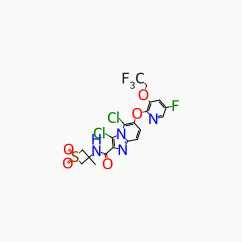 CC1(NC(=O)c2nc3ccc(Oc4ncc(F)cc4OCC(F)(F)F)c(Cl)n3c2Cl)CS(=O)(=O)C1